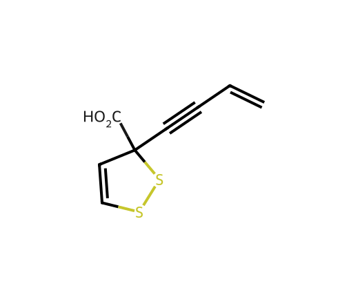 C=CC#CC1(C(=O)O)C=CSS1